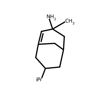 CC(C)C1CC2=CC(C)(N)CC(C2)C1